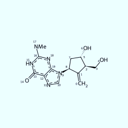 C=C1[C@H](CO)[C@@H](O)C[C@@H]1n1cnc2c(=O)[nH]c(NC)nc21